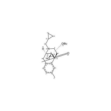 Cc1ccc2c(c1)[C@]13CCN(CC4CC4)[C@H](C2)[C@]1(O)C[C@H](OCC(C)C)C(=O)C3